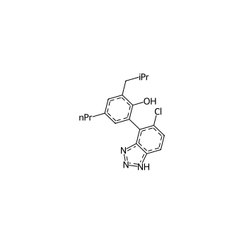 CCCc1cc(CC(C)C)c(O)c(-c2c(Cl)ccc3[nH]nnc23)c1